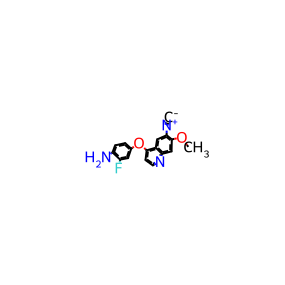 [C-]#[N+]c1cc2c(Oc3ccc(N)c(F)c3)ccnc2cc1OC